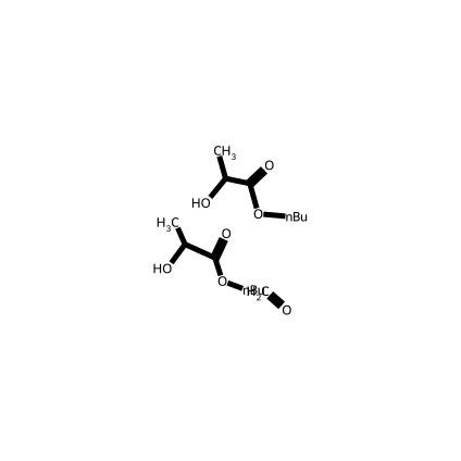 C=O.CCCCOC(=O)C(C)O.CCCCOC(=O)C(C)O